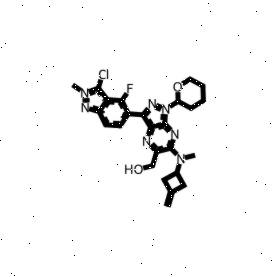 C=C1CC(N(C)c2nc3c(nc2CO)c(-c2ccc4nn(C)c(Cl)c4c2F)nn3C2CCCCO2)C1